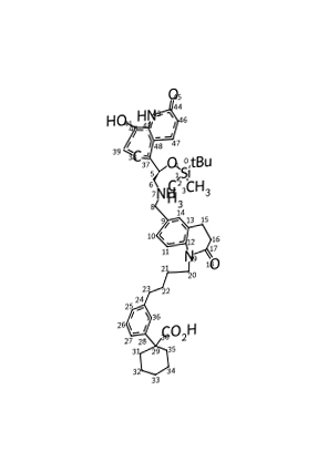 CC(C)(C)[Si](C)(C)O[C@@H](CNCc1ccc2c(c1)CCC(=O)N2CCCCc1cccc(C2(C(=O)O)CCCCC2)c1)c1ccc(O)c2[nH]c(=O)ccc12